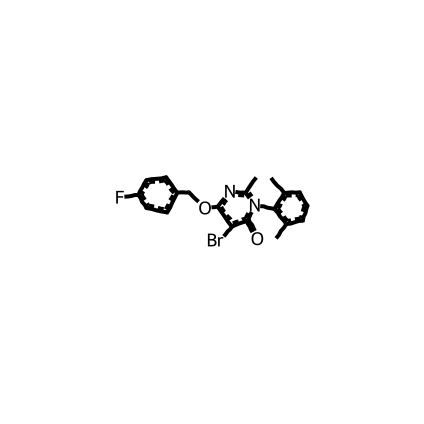 Cc1cccc(C)c1-n1c(C)nc(OCc2ccc(F)cc2)c(Br)c1=O